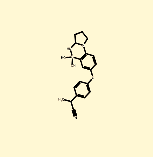 CC(C#N)c1ccc(Oc2ccc3c(c2)S(O)(O)NC2CCCN32)cc1